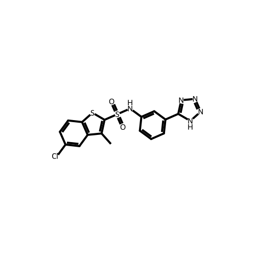 Cc1c(S(=O)(=O)Nc2cccc(-c3nnn[nH]3)c2)sc2ccc(Cl)cc12